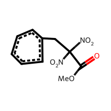 COC(=O)C(Cc1ccccc1)([N+](=O)[O-])[N+](=O)[O-]